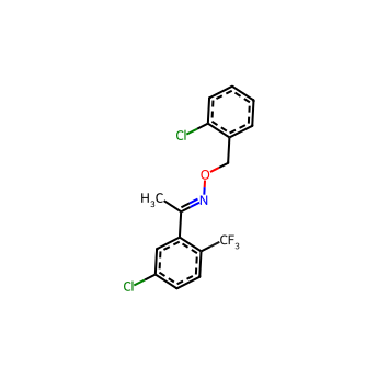 C/C(=N\OCc1ccccc1Cl)c1cc(Cl)ccc1C(F)(F)F